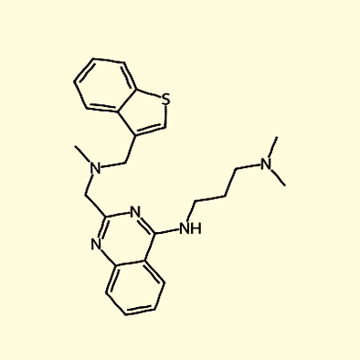 CN(C)CCCNc1nc(CN(C)Cc2csc3ccccc23)nc2ccccc12